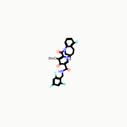 COc1c2n(cc(C(=O)NCc3c(F)cc(F)cc3F)c1=O)[C@H]1CCc3c(F)cccc3N(C1)C2=O